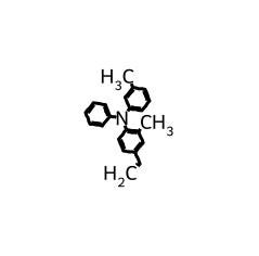 C=Cc1ccc(N(c2ccccc2)c2cccc(C)c2)c(C)c1